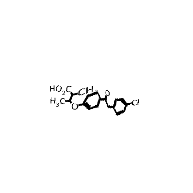 CC(Oc1ccc(C(=O)Cc2ccc(Cl)cc2)cc1)C(C)C(=O)O